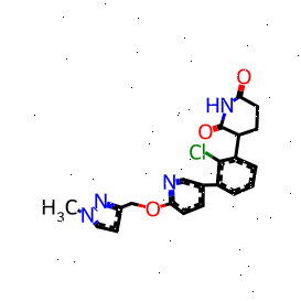 Cn1ccc(COc2ccc(-c3cccc(C4CCC(=O)NC4=O)c3Cl)cn2)n1